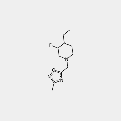 CCC1CCN(Cc2nc(C)no2)CC1F